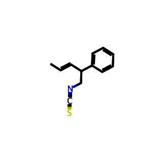 CC=CC(CN=C=S)c1ccccc1